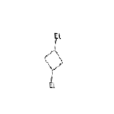 CCC1CC(CC)C1